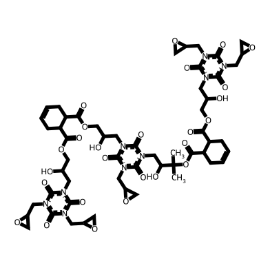 CC(C)(OC(=O)C1CC=CCC1C(=O)OCC(O)Cn1c(=O)n(CC2CO2)c(=O)n(CC2CO2)c1=O)C(O)Cn1c(=O)n(CC(O)COC(=O)C2CC=CCC2C(=O)OCC(O)Cn2c(=O)n(CC3CO3)c(=O)n(CC3CO3)c2=O)c(=O)n(CC2CO2)c1=O